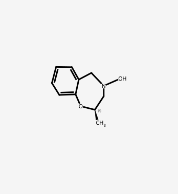 C[C@@H]1CN(O)Cc2ccccc2O1